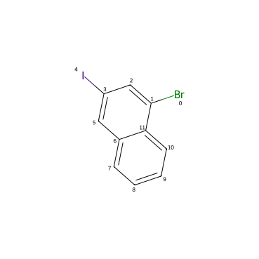 Brc1cc(I)cc2ccccc12